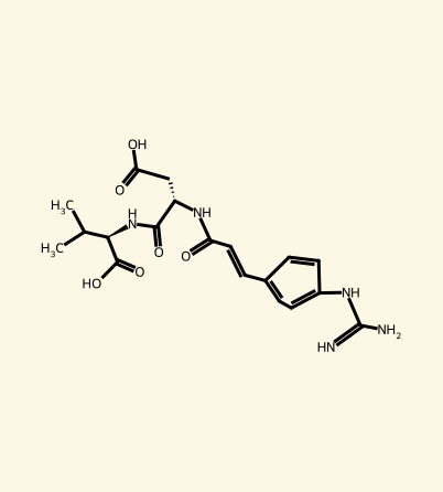 CC(C)[C@@H](NC(=O)[C@H](CC(=O)O)NC(=O)C=Cc1ccc(NC(=N)N)cc1)C(=O)O